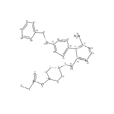 CCC(=O)ON1CCC(CNc2ncnc(N)c2-c2ccc(OCc3ccccc3)cc2)CC1